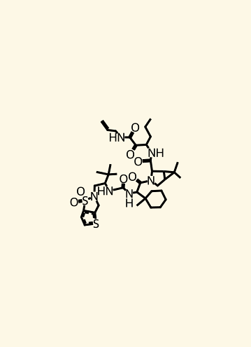 C=CCNC(=O)C(=O)C(CCC)NC(=O)C1C2C(CN1C(=O)C(NC(=O)NC(CN1Cc3sccc3S1(=O)=O)C(C)(C)C)C1(C)CCCCC1)C2(C)C